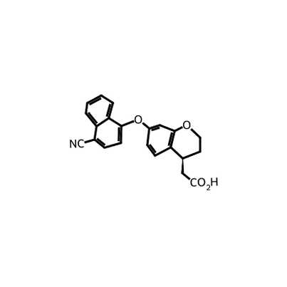 N#Cc1ccc(Oc2ccc3c(c2)OCC[C@H]3CC(=O)O)c2ccccc12